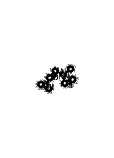 c1ccc(-c2nc(-c3cccc4c3oc3cc(-n5c6ccccc6c6cccnc65)ccc34)nc(-c3cccc4sc5ccccc5c34)n2)cc1